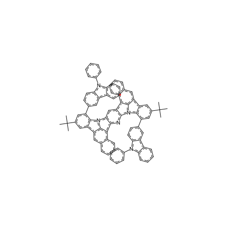 CC(C)(C)c1cc(-c2ccc3c(c2)c2ccccc2n3-c2ccccc2)c2c(c1)c1cc3ccccc3c3c4nc5c(cc4n2c13)c1c2ccccc2cc2c3cc(C(C)(C)C)cc(-c4ccc6c(c4)c4ccccc4n6-c4ccccc4)c3n5c21